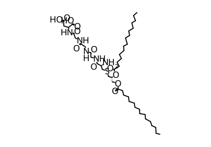 CCCCCCCCCCCCCCCC(=O)OC[C@H](CSC[C@H](N)C(=O)NCC(=O)NCC(=O)NCC(=O)NC(CC(=O)O)C(=O)O)OC(=O)CCCCCCCCCCCCCCC